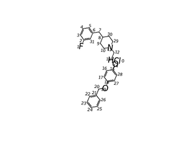 Cl.Fc1cccc(CC2CCN(CCOc3ccc(OCc4ccccc4)cc3)CC2)c1